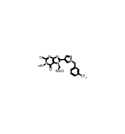 CCCn1c(Cl)nc2nc(-c3cnn(Cc4cccc(C(F)(F)F)c4)c3)n(COC)c2c1=O